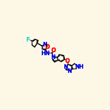 O=C(Nc1cc(C2=CC=C(F)CC2)no1)n1ccc2cc(Oc3ncnc4c3CNC4)ccc21